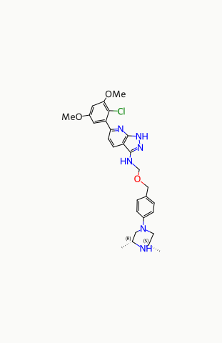 COc1cc(OC)c(Cl)c(-c2ccc3c(NCOCc4ccc(N5C[C@@H](C)N[C@@H](C)C5)cc4)n[nH]c3n2)c1